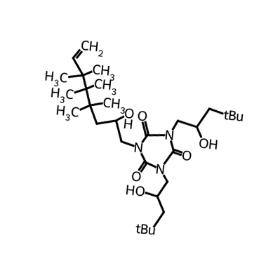 C=CC(C)(C)C(C)(C)C(C)(C)CC(O)Cn1c(=O)n(CC(O)CC(C)(C)C)c(=O)n(CC(O)CC(C)(C)C)c1=O